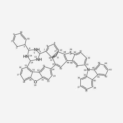 C1=CCC(C2NC(c3ccccc3)NC(c3cccc4oc5ccc(-c6ccc7sc8ccc(-n9c%10ccccc%10c%10ccccc%109)cc8c7c6)cc5c34)N2)C=C1